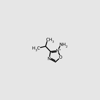 CC(C)c1nco[n+]1N